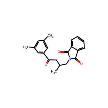 Cc1cc(C)cc(C(=O)CC(C)CN2C(=O)c3ccccc3C2=O)c1